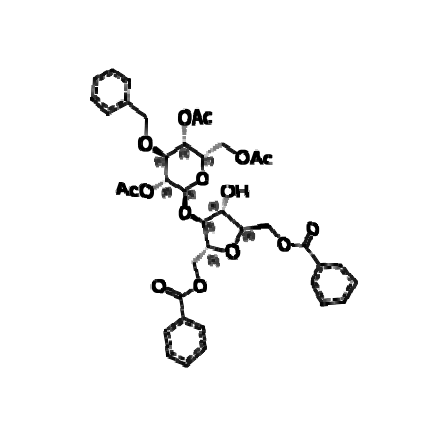 CC(=O)OC[C@@H]1O[C@@H](O[C@H]2[C@H](O)[C@@H](COC(=O)c3ccccc3)O[C@@H]2COC(=O)c2ccccc2)[C@H](OC(C)=O)[C@@H](OCc2ccccc2)[C@@H]1OC(C)=O